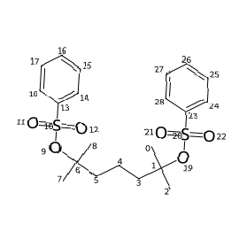 CC(C)(CCCC(C)(C)OS(=O)(=O)c1ccccc1)OS(=O)(=O)c1ccccc1